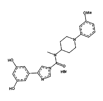 Br.COc1cccc(N2CCC(N(C)C(=O)n3cnc(-c4cc(O)cc(O)c4)c3)CC2)c1